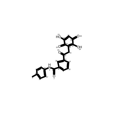 Cc1ccc(NC(=O)c2cccc(C(=O)CC3=C(O)C(=O)C=C(O)C3=O)c2)cc1